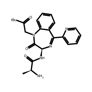 C[C@H](N)C(=O)N[C@@H]1N=C(c2ccccn2)c2ccccc2N(CC(=O)C(C)(C)C)C1=O